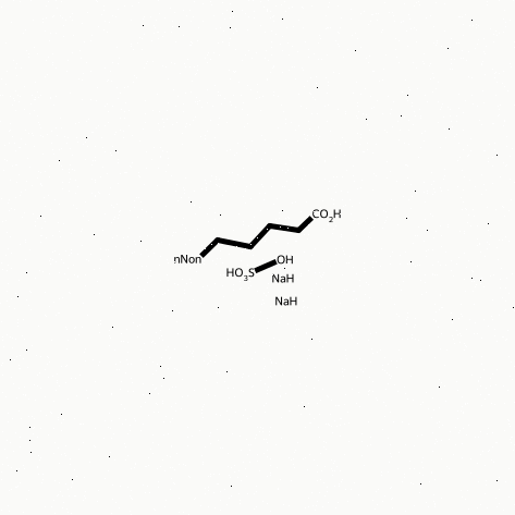 CCCCCCCCCCCCCC(=O)O.O=S(=O)(O)O.[NaH].[NaH]